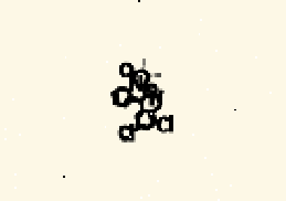 C[C@@H]1C(=O)N(c2ccccc2C2CN(C)Cc3c(Cl)cc(Cl)cc32)C(=O)[C@@H]1C